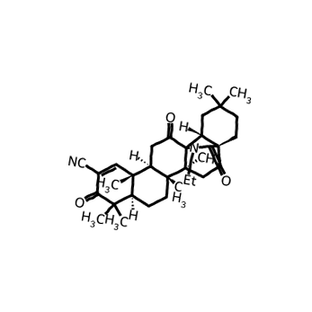 CCN1C(=O)[C@]23CCC(C)(C)C[C@H]2C12C(=O)C[C@@H]1[C@@]4(C)C=C(C#N)C(=O)C(C)(C)[C@@H]4CC[C@@]1(C)[C@]2(C)CC3